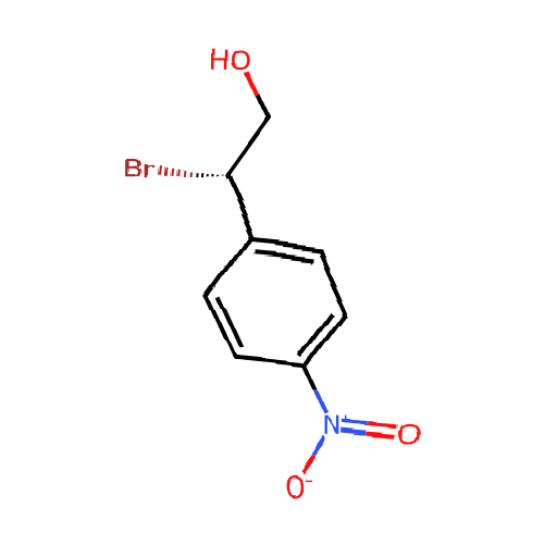 O=[N+]([O-])c1ccc([C@H](Br)CO)cc1